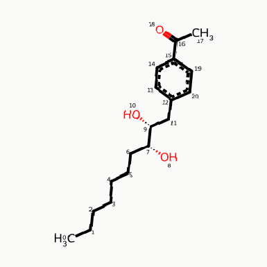 CCCCCCC[C@@H](O)[C@H](O)Cc1ccc(C(C)=O)cc1